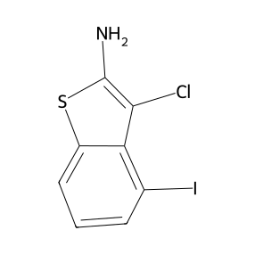 Nc1sc2cccc(I)c2c1Cl